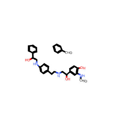 O=CNc1cc(C(O)CNCCc2ccc(NCC(O)c3ccccc3)cc2)ccc1O.O=Cc1ccccc1